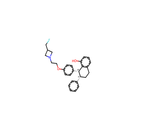 Oc1cccc2c1[C@@H](c1ccc(OCCN3CC(CF)C3)cc1)[C@@H](c1ccccc1)CC2